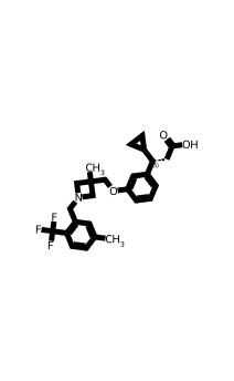 Cc1ccc(C(F)(F)F)c(CN2CC(C)(COc3cccc([C@@H](CC(=O)O)C4CC4)c3)C2)c1